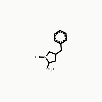 O=C(O)C1CC(Cc2ccccc2)CN1O